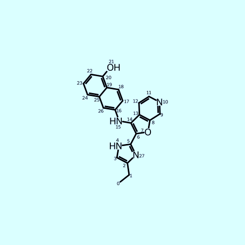 CCc1c[nH]c(-c2oc3cnccc3c2Nc2ccc3c(O)cccc3c2)n1